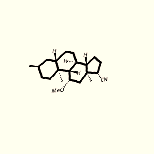 CO[C@H]1C[C@]2(C)[C@@H](C#N)CC[C@H]2[C@@H]2CC[C@H]3C[C@H](C)CC[C@]3(C)[C@H]21